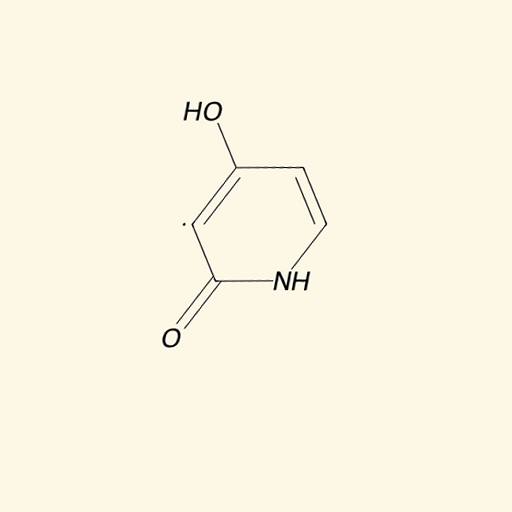 O=c1[c]c(O)cc[nH]1